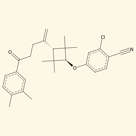 C=C(CCC(=O)c1ccc(C)c(C)c1)[C@H]1C(C)(C)[C@H](Oc2ccc(C#N)c(Cl)c2)C1(C)C